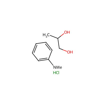 CC(O)CO.CNc1ccccc1.Cl